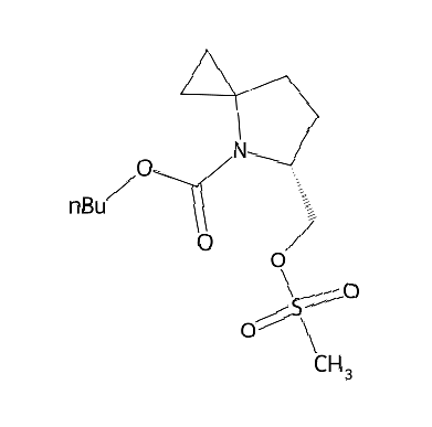 CCCCOC(=O)N1[C@@H](COS(C)(=O)=O)CCC12CC2